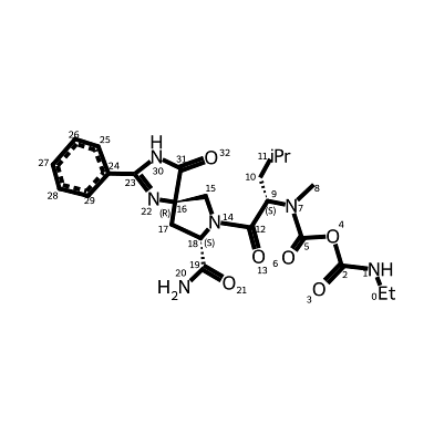 CCNC(=O)OC(=O)N(C)[C@@H](CC(C)C)C(=O)N1C[C@@]2(C[C@H]1C(N)=O)N=C(c1ccccc1)NC2=O